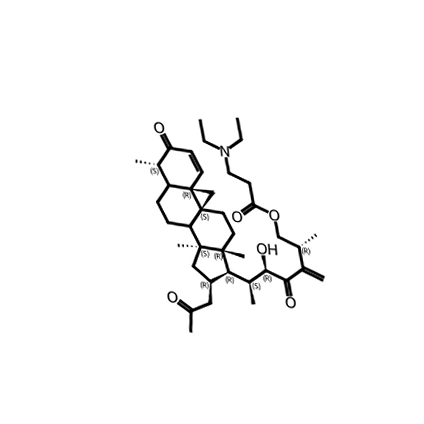 C=C(C(=O)[C@H](O)[C@@H](C)[C@H]1[C@@H](CC(C)=O)C[C@@]2(C)C3CCC4[C@H](C)C(=O)C=C[C@@]45C[C@@]35CC[C@]12C)[C@@H](C)COC(=O)CCN(CC)CC